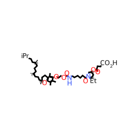 CC[C@@H]1C[C@@H](OC(=O)CCC(=O)O)CN1C(=O)CCCCCNC(=O)OCCOc1c(C)c(C)c2c(c1C)CC[C@@](C)(CCC[C@H](C)CCC[C@H](C)CCCC(C)C)O2